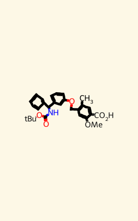 COc1cc(COc2cccc(C(NC(=O)OC(C)(C)C)c3ccccc3)c2)c(C)cc1C(=O)O